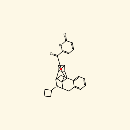 O=C(c1cccc(=O)[nH]1)N1CC23CC45CC2C1C3C41CCN(C2CCC2)C5Cc2ccccc21